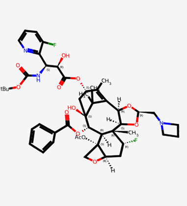 CC(=O)O[C@@]12CO[C@@H]1C[C@@H](F)[C@@]1(C)[C@@H]3O[C@H](CN4CCC4)O[C@@H]3C3=C(C)[C@@H](OC(=O)[C@H](O)[C@@H](NC(=O)OC(C)(C)C)c4ncccc4F)C[C@@](O)([C@@H](OC(=O)c4ccccc4)[C@H]21)C3(C)C